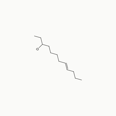 CCCC=CCCCCC([O])CC